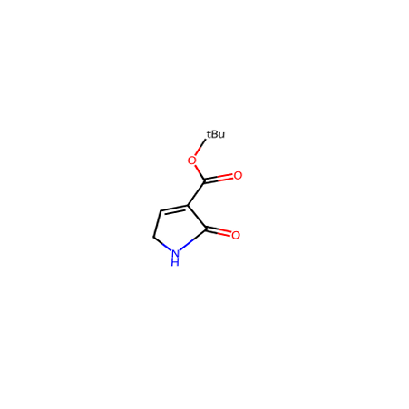 CC(C)(C)OC(=O)C1=CCNC1=O